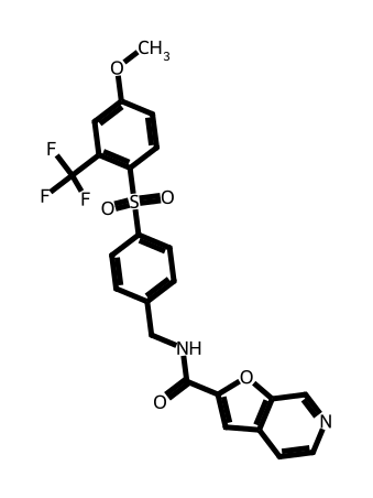 COc1ccc(S(=O)(=O)c2ccc(CNC(=O)c3cc4ccncc4o3)cc2)c(C(F)(F)F)c1